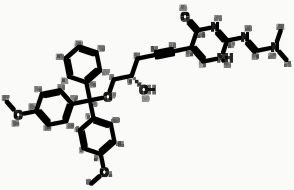 COc1ccc(C(OC[C@@H](O)CC#Cc2c[nH]c(N=CN(C)C)nc2=O)(c2ccccc2)c2ccc(OC)cc2)cc1